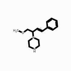 COCC(/C=C/c1ccccc1)N1CCNCC1